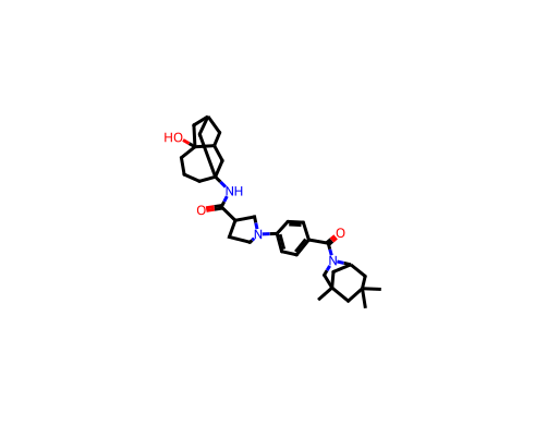 CC1(C)CC2CC(C)(CN2C(=O)c2ccc(N3CCC(C(=O)NC45CCCC6(O)CC(CC6C4)C5)C3)cc2)C1